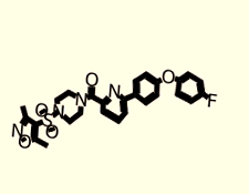 Cc1noc(C)c1S(=O)(=O)N1CCN(C(=O)c2cccc(-c3ccc(Oc4ccc(F)cc4)cc3)n2)CC1